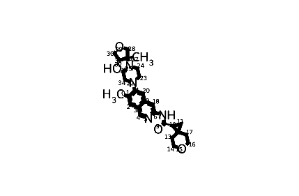 Cc1cc2cnc(NC(=O)[C@H]3CC34CCOCC4)cc2cc1N1CCN([C@@]2(C)COC[C@H]2O)CC1